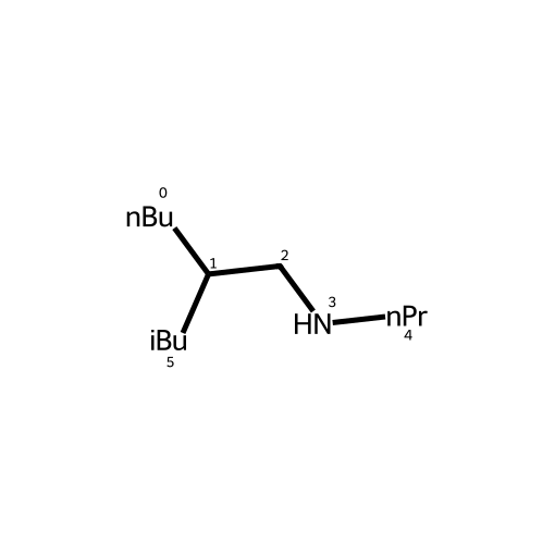 CCCCC(CNCCC)C(C)CC